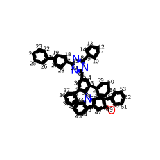 C1=CC(c2cc(-c3nc(-c4ccccc4)nc(-c4ccc(-c5ccccc5)cc4)n3)cc(-c3ccccc3)c2-n2c3ccccc3c3cc4oc5ccccc5c4cc32)=CCC1